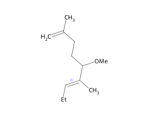 C=C(C)CCC(OC)/C(C)=C/CC